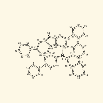 c1ccc(-c2ccc(N(c3cc4ccccc4c4ccccc34)c3cc(-c4ccccc4)cc4sc5cc(-c6ccccc6)ccc5c34)cc2)cc1